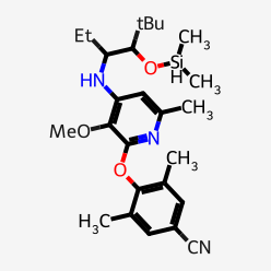 CCC(Nc1cc(C)nc(Oc2c(C)cc(C#N)cc2C)c1OC)C(O[SiH](C)C)C(C)(C)C